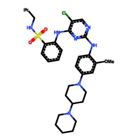 COc1cc(N2CCC(N3CCCCC3)CC2)ccc1Nc1ncc(Cl)c(Nc2ccccc2S(=O)(=O)NCC(C)C)n1